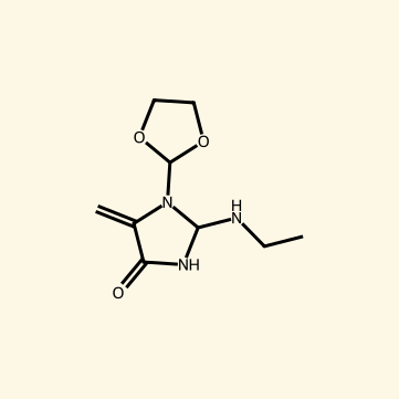 C=C1C(=O)NC(NCC)N1C1OCCO1